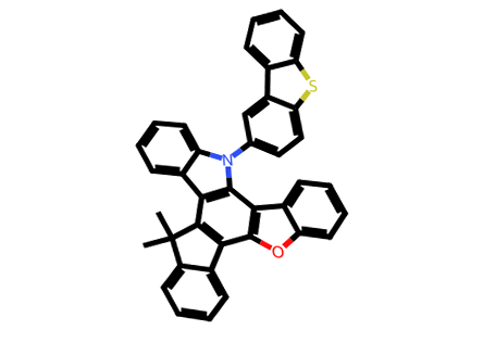 CC1(C)c2ccccc2-c2c1c1c3ccccc3n(-c3ccc4sc5ccccc5c4c3)c1c1c2oc2ccccc21